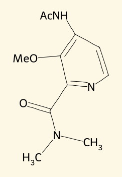 COc1c(NC(C)=O)ccnc1C(=O)N(C)C